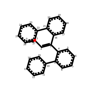 O=CC=C(c1ccccc1-c1ccccc1)c1ccccc1-c1ccccc1